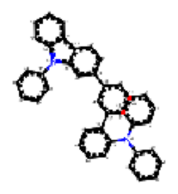 c1ccc(N(c2ccccc2)c2ccccc2-c2cccc(-c3ccc4c5ccccc5n(-c5ccccc5)c4c3)c2)cc1